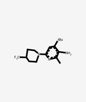 Cc1nc(N2CCC(C(F)(F)F)CC2)cc(C(C)(C)C)c1N